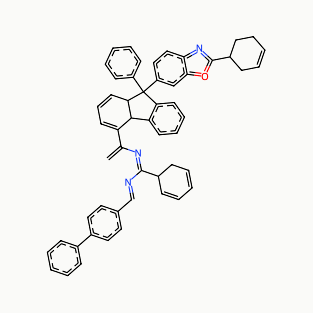 C=C(/N=C(\N=C\c1ccc(-c2ccccc2)cc1)C1C=CC=CC1)C1=CC=CC2C1c1ccccc1C2(c1ccccc1)c1ccc2nc(C3CC=CCC3)oc2c1